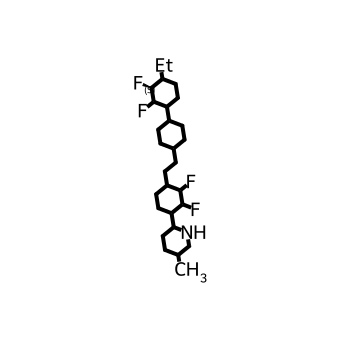 CCC1CCC(C2CCC(CCC3CCC(C4CCC(C)CN4)C(F)C3F)CC2)C(F)[C@H]1F